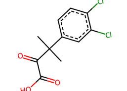 CC(C)(C(=O)C(=O)O)c1ccc(Cl)c(Cl)c1